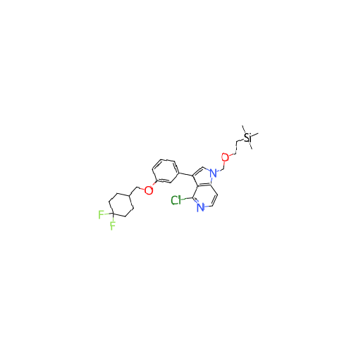 C[Si](C)(C)CCOCn1cc(-c2cccc(OCC3CCC(F)(F)CC3)c2)c2c(Cl)nccc21